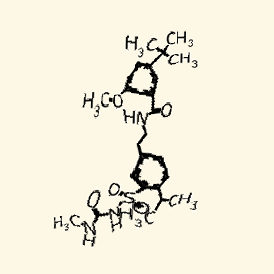 CNC(=O)NS(=O)(=O)c1cc(CCNC(=O)c2cc(C(C)(C)C)ccc2OC)ccc1C(C)C